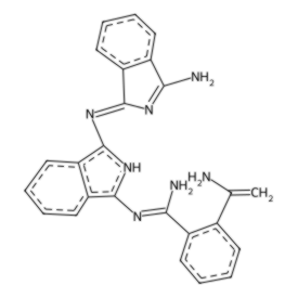 C=C(N)c1ccccc1/C(N)=N/c1[nH]c(/N=C2\N=C(N)c3ccccc32)c2ccccc12